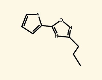 CCCc1noc(-c2cccs2)n1